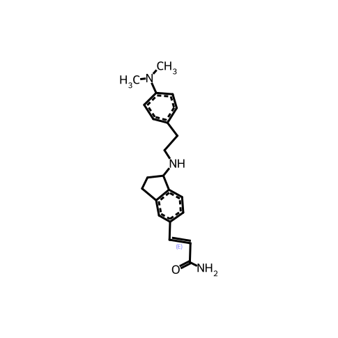 CN(C)c1ccc(CCNC2CCc3cc(/C=C/C(N)=O)ccc32)cc1